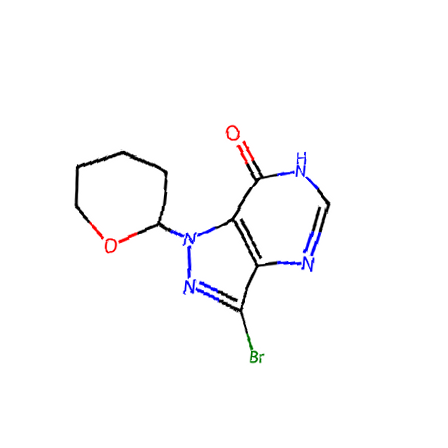 O=c1[nH]cnc2c(Br)nn(C3CCCCO3)c12